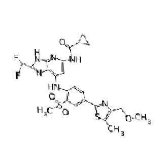 COCc1nc(-c2ccc(Nc3cc(NC(=O)C4CC4)nc4[nH]c(C(F)F)nc34)c(S(C)(=O)=O)c2)sc1C